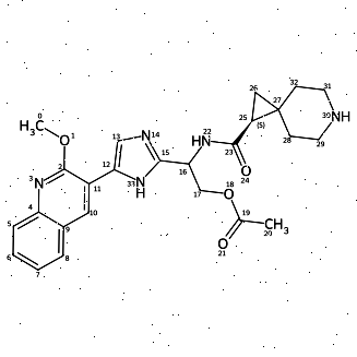 COc1nc2ccccc2cc1-c1cnc(C(COC(C)=O)NC(=O)[C@H]2CC23CCNCC3)[nH]1